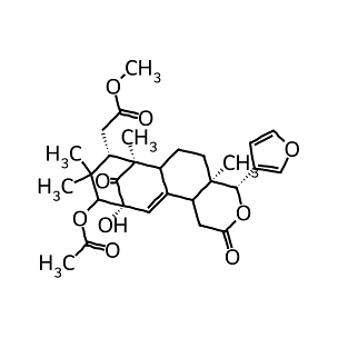 COC(=O)C[C@H]1C(C)(C)C(OC(C)=O)[C@]2(O)C=C3C4CC(=O)O[C@@H](c5ccoc5)[C@]4(C)CCC3[C@@]1(C)C2=O